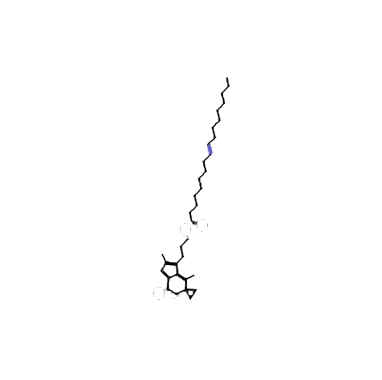 CCCCCCCC/C=C/CCCCCCCC(=O)OCCCC1=C(C)C=C2C(=O)[C@@H](C)C3(CC3)C(C)=C21